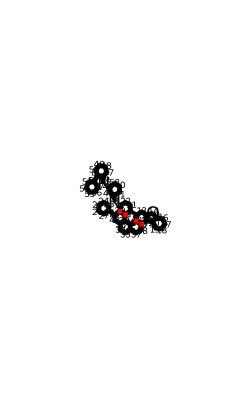 c1cc(N(c2ccc(-c3ccc4c(c3)oc3ccccc34)cc2)c2ccccc2-c2ccc3c(ccc4ccccc43)c2)cc(-n2c3ccccc3c3ccccc32)c1